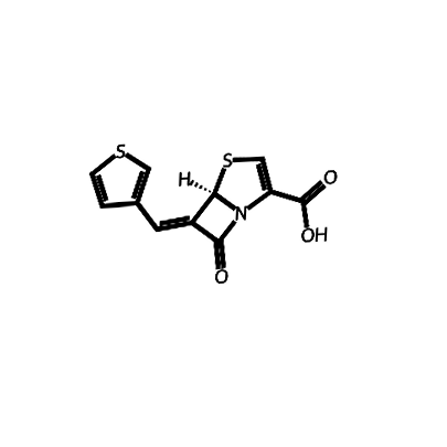 O=C(O)C1=CS[C@@H]2/C(=C\c3ccsc3)C(=O)N12